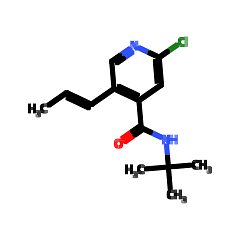 C/C=C/c1cnc(Cl)cc1C(=O)NC(C)(C)C